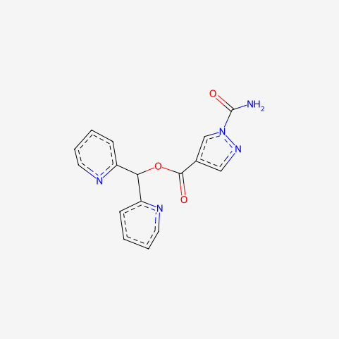 NC(=O)n1cc(C(=O)OC(c2ccccn2)c2ccccn2)cn1